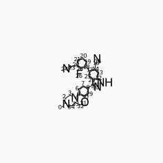 CN1CCN2c3ccc(-c4n[nH]c5cc(C#N)c(-c6cccc(C#N)c6F)cc45)cc3OCC2C1